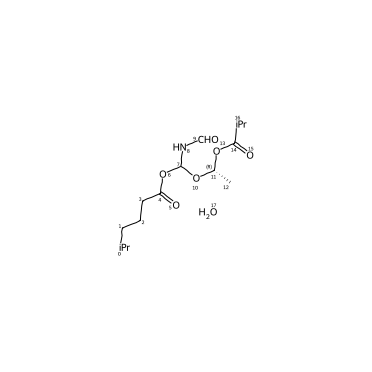 CC(C)CCCC(=O)OC(NC=O)O[C@@H](C)OC(=O)C(C)C.O